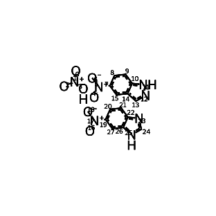 O=[N+]([O-])O.O=[N+]([O-])c1ccc2[nH]ncc2c1.O=[N+]([O-])c1ccc2nc[nH]c2c1